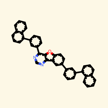 c1cc(-c2ccc3oc4c(-c5cccc(-c6cccc7ccccc67)c5)ncnc4c3c2)cc(-c2cccc3ccccc23)c1